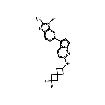 Cc1nc2ncc(-c3ccn4nc(NC5CC6(C5)CC(F)(F)C6)ncc34)cc2n1C(C)C